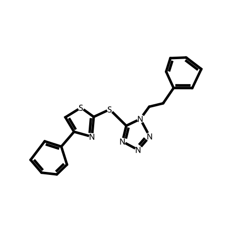 c1ccc(CCn2nnnc2Sc2nc(-c3ccccc3)cs2)cc1